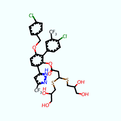 O=C(CC(SCC(O)CO)SCC(O)CO)Oc1c(-c2cc(C(F)(F)F)n[nH]2)ccc(OCc2ccc(Cl)cc2)c1-c1ccc(Cl)c(C(F)(F)F)c1